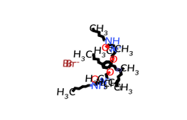 CCCCCCNC(=O)C[N+](C)(C)CCOc1cc(CCCCC)cc(OCC[N+](C)(C)CC(=O)NCCCCCC)c1C/C=C(\C)CCC=C(C)C.[Br-].[Br-]